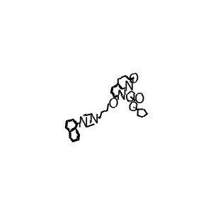 O=C(OCN1C(=O)CCc2ccc(OCCCCN3CCN(c4cccc5ccccc45)CC3)nc21)OC1CCCC1